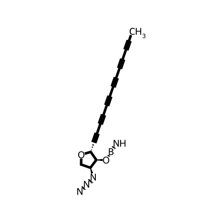 CC#CC#CC#CC#CC#CC#C[C@H]1OC[C@H](N=[N+]=[N-])[C@@H]1OB=N